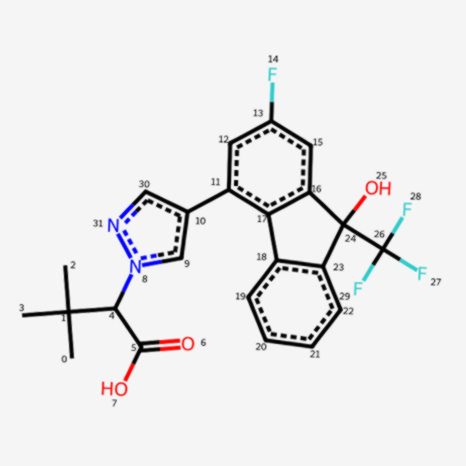 CC(C)(C)C(C(=O)O)n1cc(-c2cc(F)cc3c2-c2ccccc2C3(O)C(F)(F)F)cn1